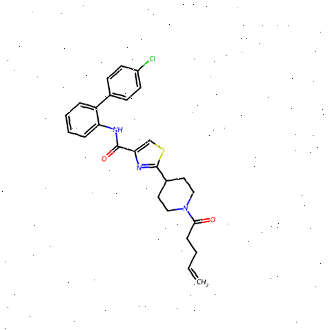 C=CCCC(=O)N1CCC(c2nc(C(=O)Nc3ccccc3-c3ccc(Cl)cc3)cs2)CC1